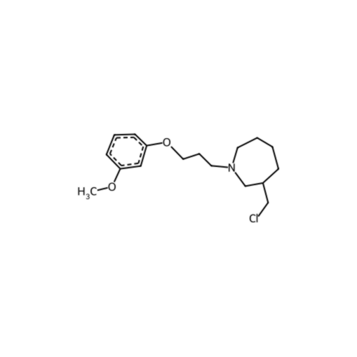 COc1cccc(OCCCN2CCCCC(CCl)C2)c1